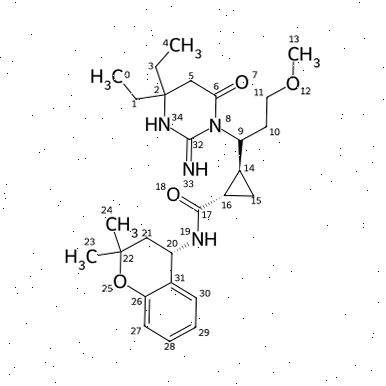 CCC1(CC)CC(=O)N(C(CCOC)[C@H]2C[C@@H]2C(=O)N[C@H]2CC(C)(C)Oc3ccccc32)C(=N)N1